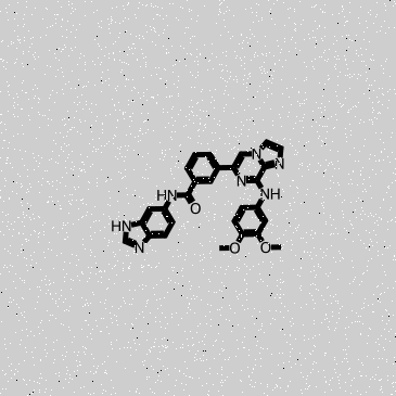 COc1ccc(Nc2nc(-c3cccc(C(=O)Nc4ccc5nc[nH]c5c4)c3)cn3ccnc23)cc1OC